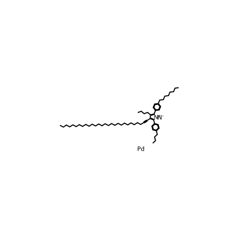 CCCCCCCCCCCCCCCCCCCCCCCCCCC#CC1=C(c2ccc(CCCC)cc2)[N+](=[N-])C(c2ccc(CCCCCCCC)cc2)=C1CCCC.[Pd]